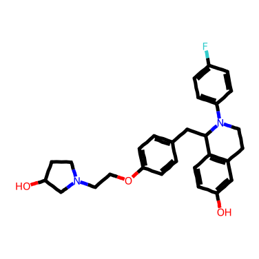 Oc1ccc2c(c1)CCN(c1ccc(F)cc1)C2Cc1ccc(OCCN2CCC(O)C2)cc1